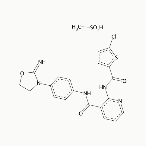 CS(=O)(=O)O.N=C1OCCN1c1ccc(NC(=O)c2cccnc2NC(=O)c2ccc(Cl)s2)cc1